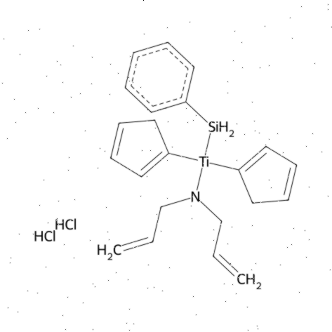 C=CC[N](CC=C)[Ti]([SiH2]c1ccccc1)([C]1=CC=CC1)[C]1=CC=CC1.Cl.Cl